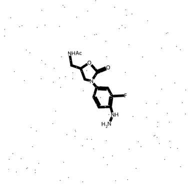 CC(=O)NCC1CN(c2ccc(NN)c(F)c2)C(=O)O1